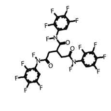 O=C(CC(CC(=O)N(F)c1cc(F)c(F)c(F)c1F)C(=O)N(F)c1cc(F)c(F)c(F)c1F)N(F)c1cc(F)c(F)c(F)c1F